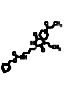 CCCN1C(=O)[C@H](CCCCNC(=O)OCc2ccccc2)NC(=O)C12CCN(C(=O)CC)CC2